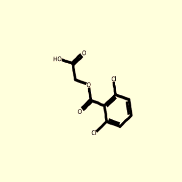 O=C(O)COC(=O)c1c(Cl)cccc1Cl